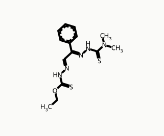 CCOC(=S)N/N=C/C(=N/NC(=S)N(C)C)c1ccccc1